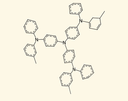 Cc1cccc(N(c2ccccc2)c2ccc(N(c3ccc(N(C4=CC=CC(C)C4)c4ccccc4)cc3)c3ccc(N(c4ccccc4)c4cccc(C)c4)cc3)cc2)c1